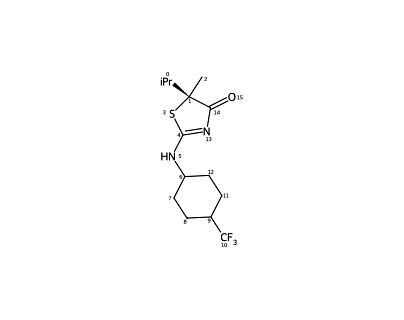 CC(C)[C@]1(C)SC(NC2CCC(C(F)(F)F)CC2)=NC1=O